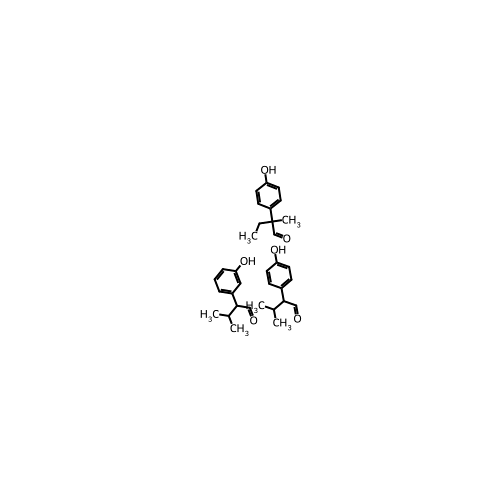 CC(C)C(C=O)c1ccc(O)cc1.CC(C)C(C=O)c1cccc(O)c1.CCC(C)(C=O)c1ccc(O)cc1